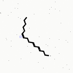 [CH2]CCC=CC=CCC/C=C\CCCCC